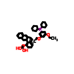 CCOc1cc(OCC)cc(P(C2CCCCC2)C2CCCCC2)c1.OB(O)Oc1cccc2ccc3cc4ccccc4cc3c12